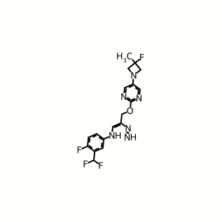 CC1(F)CN(c2cnc(OC/C(=C/Nc3ccc(F)c(C(F)F)c3)N=N)nc2)C1